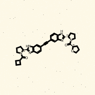 O=C(C1CCC1)N1CCC[C@H]1c1nc2ccc(C#Cc3ccc4[nH]c([C@@H]5CCCN5C(=O)[C@H]5CCCO5)nc4c3)cc2[nH]1